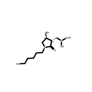 CCCC[C@@H]1CN(CCCCCO)C(=O)[C@H]1CN(O)C=O